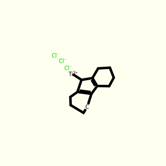 [Cl-].[Cl-].[Cl-].[Ti+3][CH]1C2=C(CCCC2)C2=C1CCCC2